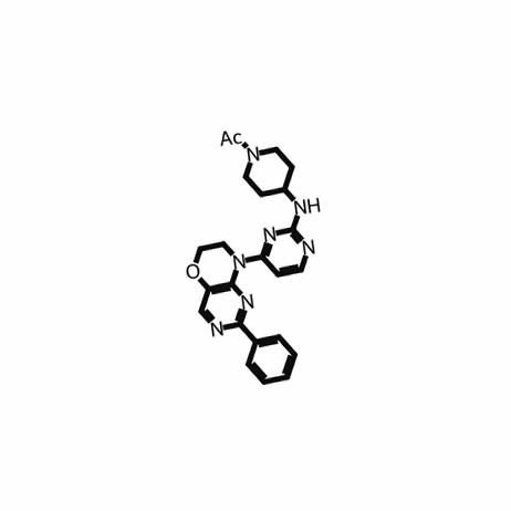 CC(=O)N1CCC(Nc2nccc(N3CCOc4cnc(-c5ccccc5)nc43)n2)CC1